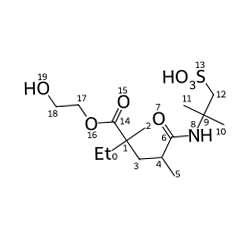 CCC(C)(CC(C)C(=O)NC(C)(C)CS(=O)(=O)O)C(=O)OCCO